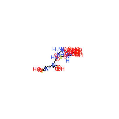 CC[N+]1=C(/C=C/C=C/C=C2/N(CCCCCC(=O)NC(CSSCCCOC(=O)Nc3ccn([C@H]4C[C@@H](O)[C@@H](COP(=O)(O)OP(=O)(O)OP(=O)(O)O)O4)c(=O)n3)C(=O)NCC#Cc3cn([C@H]4C[C@@H](O)[C@@H](COP(=O)(O)O)O4)c(=O)nc3N)c3ccc(S(=O)(=O)O)cc3C2(C)C)C(C)(C)c2cc(SOOO)ccc21